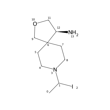 CC(I)N1CCC2(CC1)COC[C@H]2N